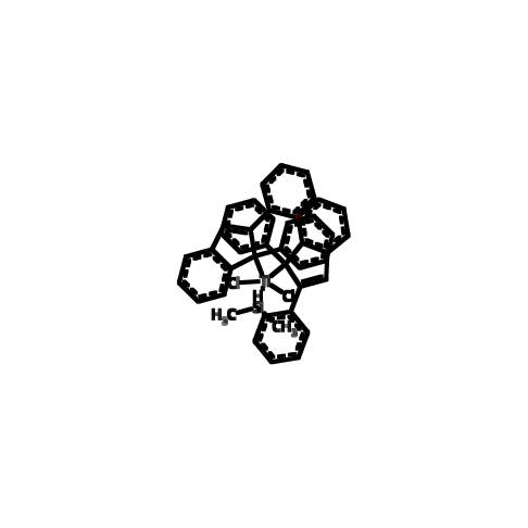 C[SiH](C)[Ti]([Cl])([Cl])([C]1(c2ccccc2)C(c2ccccc2)=Cc2ccccc21)[C]1(c2ccccc2)C(c2ccccc2)=Cc2ccccc21